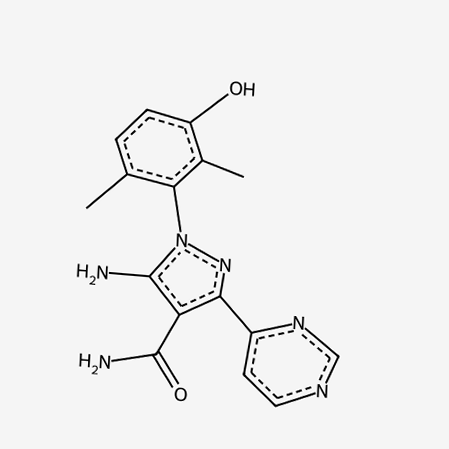 Cc1ccc(O)c(C)c1-n1nc(-c2ccncn2)c(C(N)=O)c1N